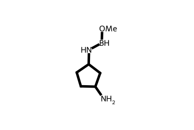 COBNC1CCC(N)C1